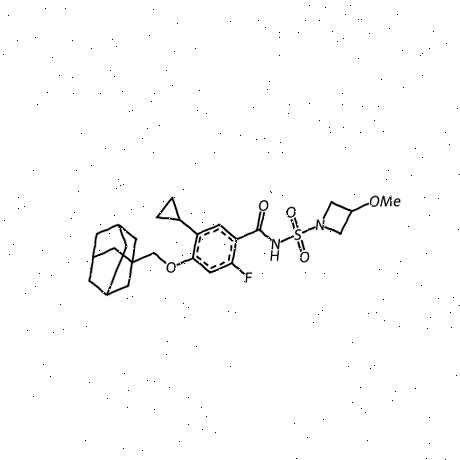 COC1CN(S(=O)(=O)NC(=O)c2cc(C3CC3)c(OCC34CC5CC(CC(C5)C3)C4)cc2F)C1